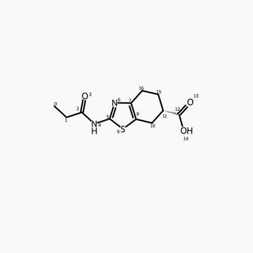 CCC(=O)Nc1nc2c(s1)C[C@@H](C(=O)O)CC2